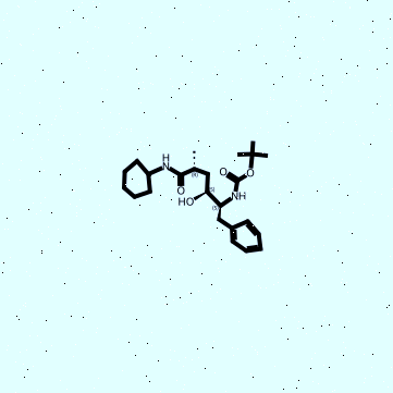 C[C@H](C[C@H](O)[C@H](Cc1ccccc1)NC(=O)OC(C)(C)C)C(=O)NC1CCCCC1